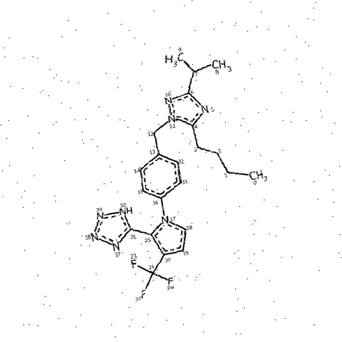 CCCCc1nc(C(C)C)nn1Cc1ccc(-n2ccc(C(F)(F)F)c2-c2nnn[nH]2)cc1